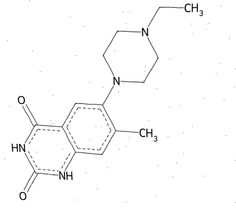 CCN1CCN(c2cc3c(=O)[nH]c(=O)[nH]c3cc2C)CC1